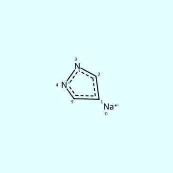 [Na+].c1cn[n-]c1